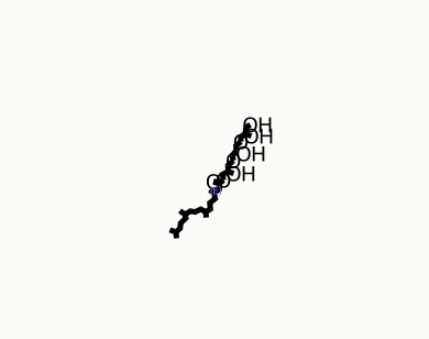 C/C(=C\C(=O)OCC(O)COCC(O)COCC(O)CO)CCCC(C)CCCC(C)CCCC(C)C